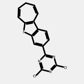 Clc1nc(Cl)nc(-c2ccc3c4c(sc3c2)C=CCC=C4)n1